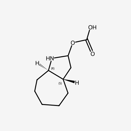 O=C(O)OC1C[C@@H]2CCCCC[C@H]2N1